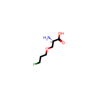 N[C@@H](COCCCF)C(=O)O